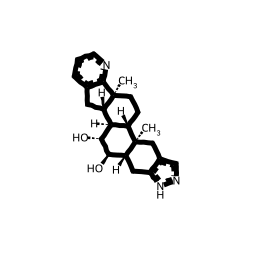 C[C@]12Cc3cn[nH]c3C[C@@H]1[C@@H](O)[C@H](O)[C@@H]1[C@@H]2CC[C@]2(C)c3ncccc3C[C@@H]12